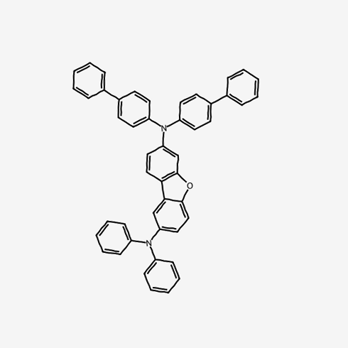 c1ccc(-c2ccc(N(c3ccc(-c4ccccc4)cc3)c3ccc4c(c3)oc3ccc(N(c5ccccc5)c5ccccc5)cc34)cc2)cc1